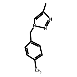 Cc1cn(Cc2ccc(C(F)(F)F)cc2)nn1